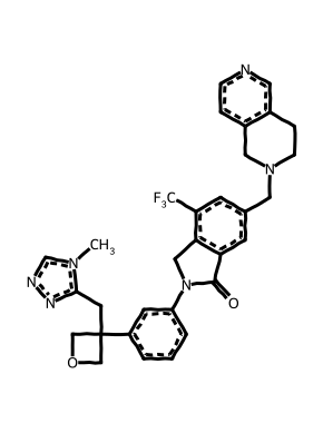 Cn1cnnc1CC1(c2cccc(N3Cc4c(cc(CN5CCc6cnccc6C5)cc4C(F)(F)F)C3=O)c2)COC1